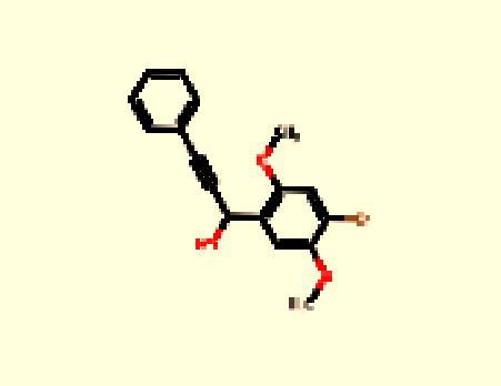 COc1cc(C(O)C#Cc2ccccc2)c(OC)cc1Br